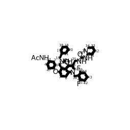 CC(=O)Nc1ccc(Oc2ccc3c(c2CN(C)Cc2ccccc2)c(=O)c(CNC(=O)Nc2ccccn2)cn3Cc2c(F)cccc2F)cc1